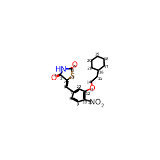 O=C1NC(=O)C(=Cc2ccc([N+](=O)[O-])c(OCCC3CCCCC3)c2)S1